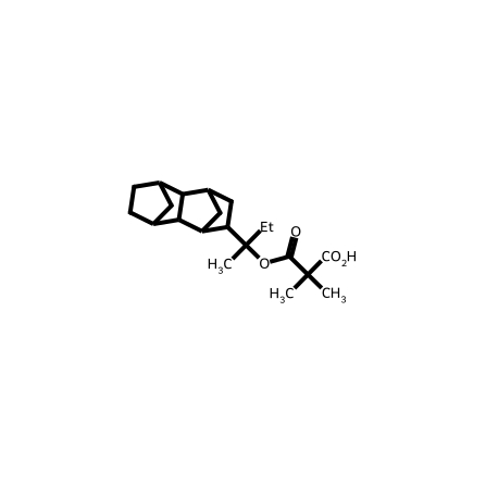 CCC(C)(OC(=O)C(C)(C)C(=O)O)C1CC2CC1C1C3CCC(C3)C21